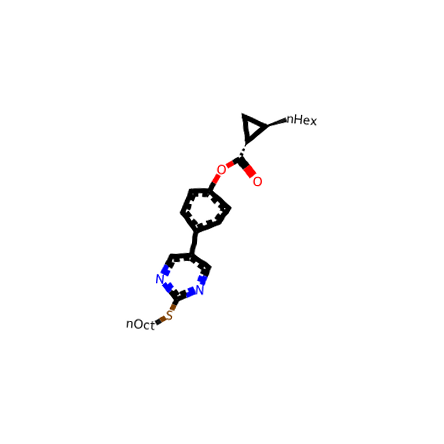 CCCCCCCCSc1ncc(-c2ccc(OC(=O)[C@@H]3C[C@H]3CCCCCC)cc2)cn1